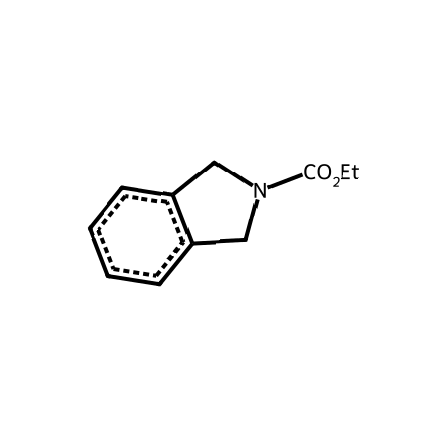 CCOC(=O)N1Cc2ccccc2C1